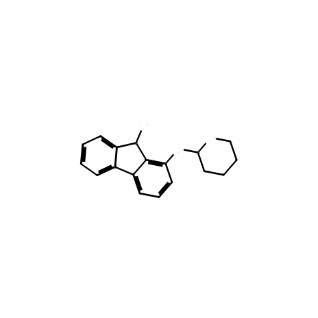 OC1c2ccccc2-c2cccc(OC3CCCCO3)c21